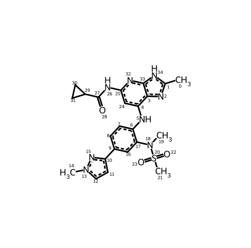 Cc1nc2c(Nc3ccc(-c4ccn(C)n4)cc3N(C)S(C)(=O)=O)cc(NC(=O)C3CC3)nc2[nH]1